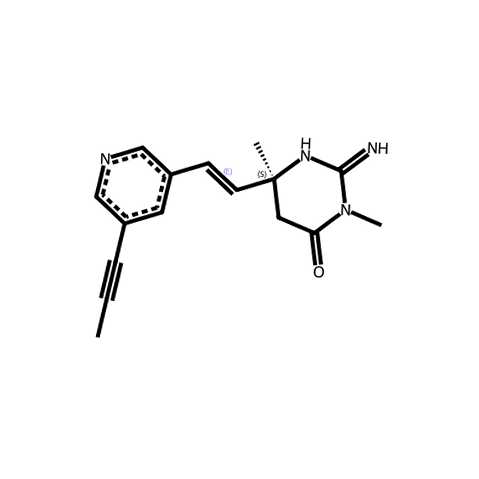 CC#Cc1cncc(/C=C/[C@]2(C)CC(=O)N(C)C(=N)N2)c1